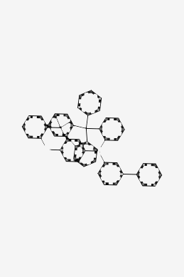 CC1(C)c2ccccc2Oc2ccc(N(c3cccc(-c4ccccc4)c3)c3ccccc3C3(c4ccccc4)c4ccccc4-c4ccccc43)cc21